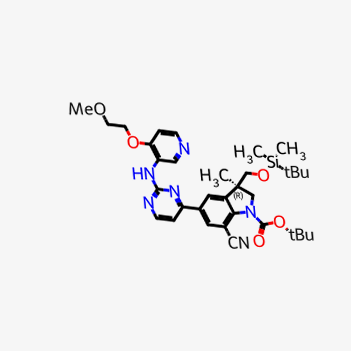 COCCOc1ccncc1Nc1nccc(-c2cc(C#N)c3c(c2)[C@@](C)(CO[Si](C)(C)C(C)(C)C)CN3C(=O)OC(C)(C)C)n1